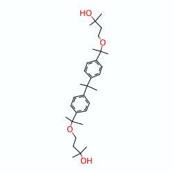 CC(C)(O)CCOC(C)(C)c1ccc(C(C)(C)c2ccc(C(C)(C)OCCC(C)(C)O)cc2)cc1